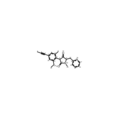 CC#Cc1cc(C)c(C2C(=O)C(Cc3ccccn3)N(C)C2=O)c(CC)c1